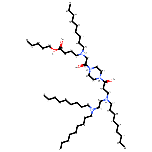 CCCCCCCCCN(CCCCCCCCC)CCN(CCCCCCCCC)CCC(=O)N1CCN(C(=O)CN(CCCCCCCCC)CCCC(=O)OCCCCC)CC1